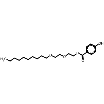 CCCCCCCCCCOCCOCCOC(=O)c1ccc(O)cc1